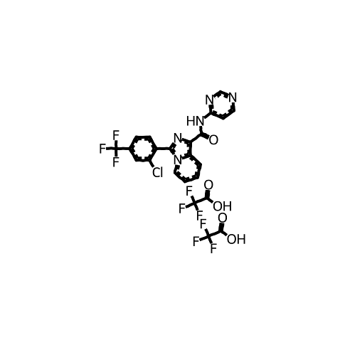 O=C(Nc1ccncn1)c1nc(-c2ccc(C(F)(F)F)cc2Cl)n2ccccc12.O=C(O)C(F)(F)F.O=C(O)C(F)(F)F